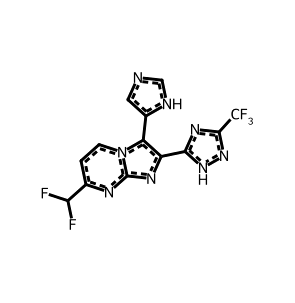 FC(F)c1ccn2c(-c3cnc[nH]3)c(-c3nc(C(F)(F)F)n[nH]3)nc2n1